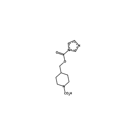 O=C(O)N1CCC(COC(=O)n2ccnc2)CC1